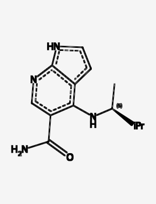 CC(C)[C@H](C)Nc1c(C(N)=O)cnc2[nH]ccc12